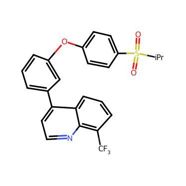 CC(C)S(=O)(=O)c1ccc(Oc2cccc(-c3ccnc4c(C(F)(F)F)cccc34)c2)cc1